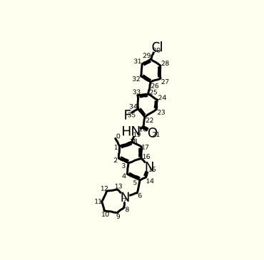 Cc1cc2cc(CN3CCCCCC3)cnc2cc1NC(=O)c1ccc(-c2ccc(Cl)cc2)cc1F